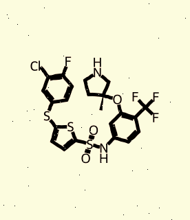 C[C@@]1(Oc2cc(NS(=O)(=O)c3ccc(Sc4ccc(F)c(Cl)c4)s3)ccc2C(F)(F)F)CCNC1